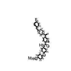 C=C(c1ccc(C(=O)Nc2ccc(Oc3ccc(OC)cc3)cc2)nc1)N1CCN(Cc2ccc(F)cc2)CC1